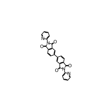 O=C1c2ccc(-c3ccc4c(c3)C(=O)N(c3ccccn3)C4=O)cc2C(=O)N1c1ccccn1